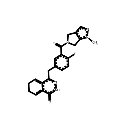 Cn1ncc2c1CN(C(=O)c1cc(Cc3n[nH]c(=O)c4c3=CCCC=4)ccc1F)C2